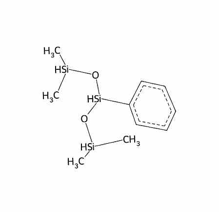 C[SiH](C)O[SiH](O[SiH](C)C)c1ccccc1